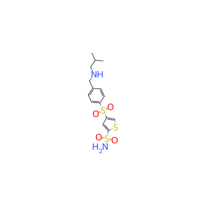 CC(C)CNCc1ccc(S(=O)(=O)c2csc(S(N)(=O)=O)c2)cc1